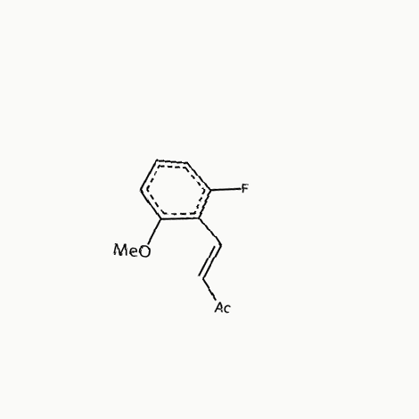 COc1cccc(F)c1C=CC(C)=O